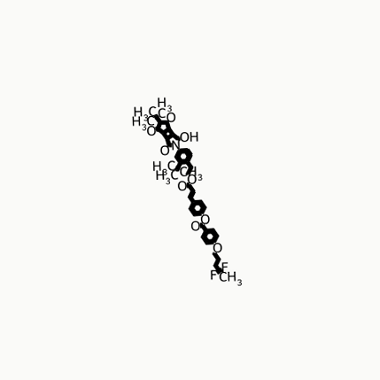 CC(F)(F)CCCOc1ccc(C(=O)Oc2ccc(/C=C/C(=O)OCCc3c#cc(N4C(=O)C5C6C(=O)C(C(C)(C)C)C(=O)C6C5C4O)cc3C(C)(C)C)cc2)cc1